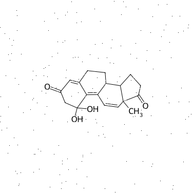 CC12C=CC3=C4C(=CC(=O)CC4(O)O)CCC3C1CCC2=O